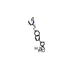 C=N/C=C(\C=C/C)SC[C@@H]1CCc2cc([C@H]3CC[C@](N)(CO)C3)ccc2C1